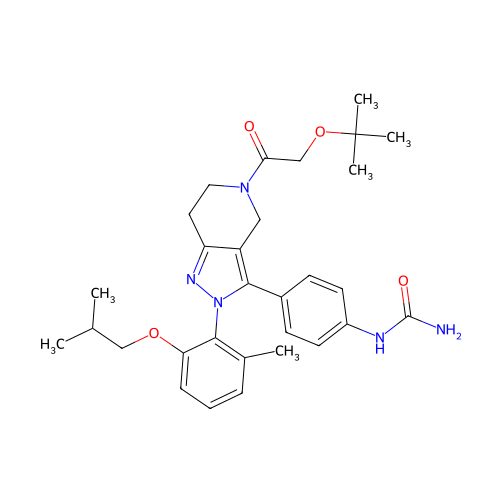 Cc1cccc(OCC(C)C)c1-n1nc2c(c1-c1ccc(NC(N)=O)cc1)CN(C(=O)COC(C)(C)C)CC2